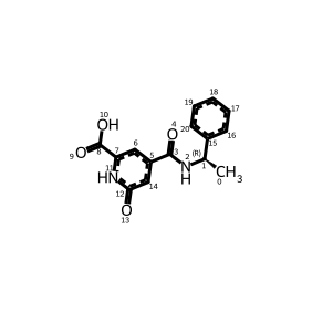 C[C@@H](NC(=O)c1cc(C(=O)O)[nH]c(=O)c1)c1ccccc1